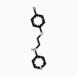 Brc1ccc(OCCNc2ccncc2)cc1